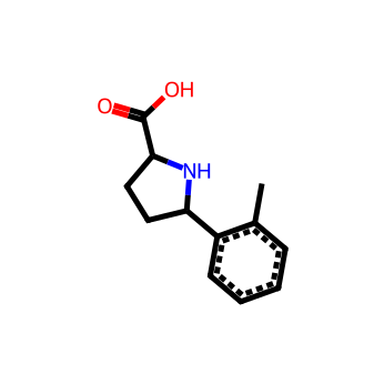 Cc1ccccc1C1CCC(C(=O)O)N1